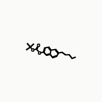 CCCCCc1ccc2cc(OC(=O)OC(C)(C)C)ccc2c1